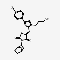 O=C1/C(=C/c2sc(-c3ccc(Cl)cc3)cc2CCCO)SC(=S)N1C1CC2CCC1C2